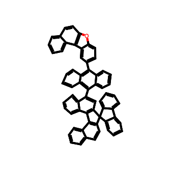 c1ccc2c(c1)-c1ccccc1C21c2ccc3ccccc3c2-c2c1cc(-c1c3ccccc3c(-c3ccc4oc5ccc6ccccc6c5c4c3)c3ccccc13)c1ccccc21